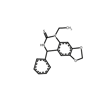 CCN1C(=S)NC(c2ccccc2)c2cc3c(cc21)OCO3